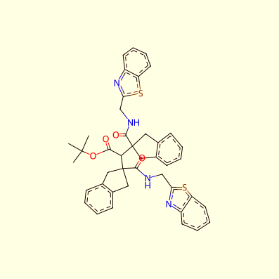 CC(C)(C)OC(=O)C(C1(C(=O)NCc2nc3ccccc3s2)Cc2ccccc2C1)C1(C(=O)NCc2nc3ccccc3s2)Cc2ccccc2C1